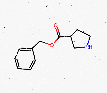 O=C(OCc1ccccc1)[C]1CCNC1